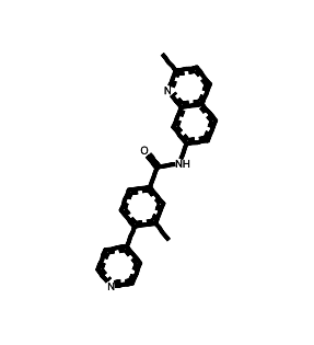 Cc1ccc2ccc(NC(=O)c3ccc(-c4ccncc4)c(C)c3)cc2n1